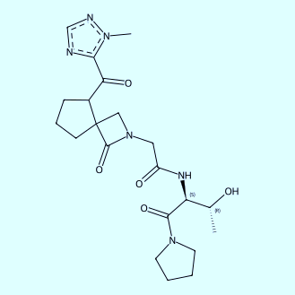 C[C@@H](O)[C@H](NC(=O)CN1CC2(CCCC2C(=O)c2ncnn2C)C1=O)C(=O)N1CCCC1